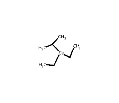 C[CH2][Ge]([CH2]C)[CH](C)C